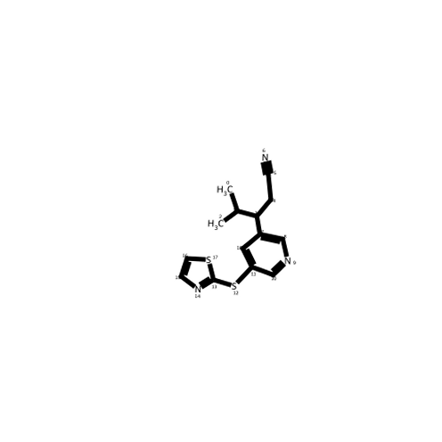 CC(C)C(CC#N)c1cncc(Sc2nccs2)c1